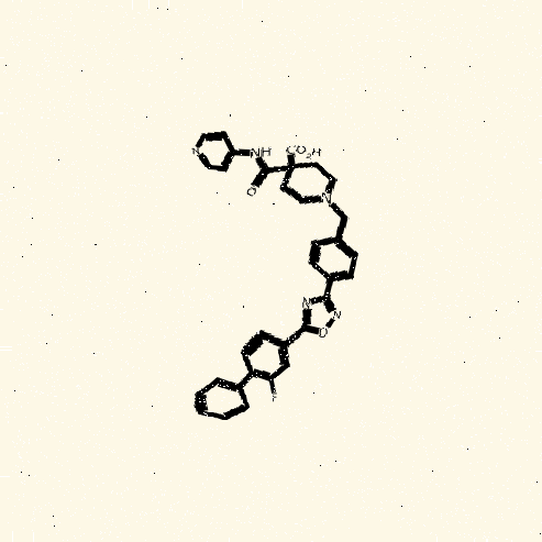 O=C(O)C1(C(=O)Nc2ccncc2)CCN(Cc2ccc(-c3noc(-c4ccc(-c5ccccc5)c(F)c4)n3)cc2)CC1